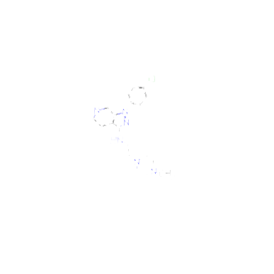 CN1CCN(CCNc2nn(-c3ccc(Cl)cc3)c3cnccc23)CC1